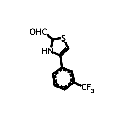 O=CC1NC(c2cccc(C(F)(F)F)c2)=CS1